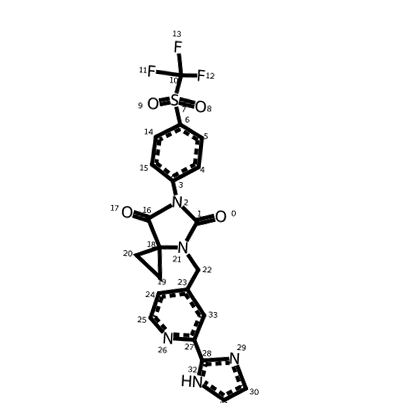 O=C1N(c2ccc(S(=O)(=O)C(F)(F)F)cc2)C(=O)C2(CC2)N1Cc1ccnc(-c2ncc[nH]2)c1